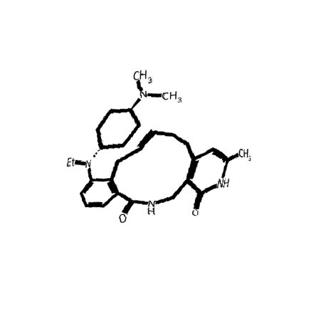 CCN(c1cccc2c1C/C=C/CCc1cc(C)[nH]c(=O)c1CNC2=O)[C@H]1CC[C@H](N(C)C)CC1